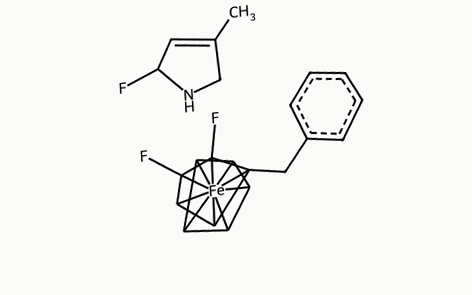 CC1=CC(F)NC1.F[C]12[CH]3[CH]4[C]5(Cc6ccccc6)[C]1(F)[Fe]34251678[CH]2[CH]1[CH]6[CH]7[CH]28